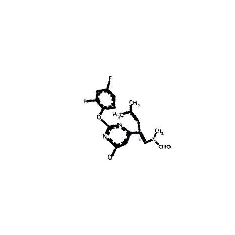 CC(C)=C/C(=C\N(C)C=O)c1cc(Cl)nc(Oc2ccc(F)cc2F)n1